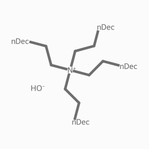 CCCCCCCCCCCC[N+](CCCCCCCCCCCC)(CCCCCCCCCCCC)CCCCCCCCCCCC.[OH-]